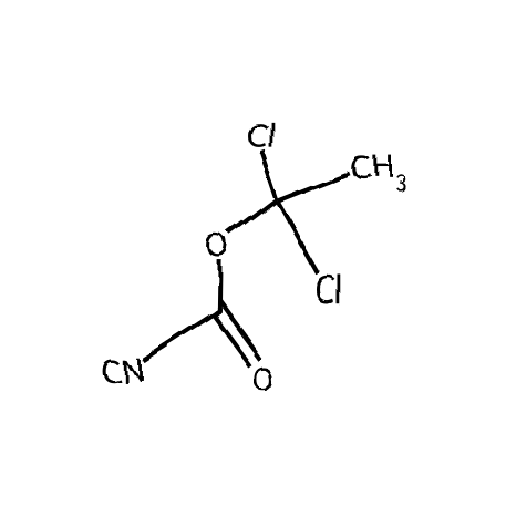 [C-]#[N+]C(=O)OC(C)(Cl)Cl